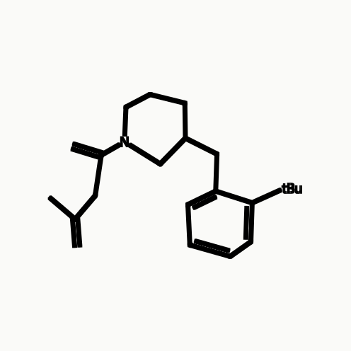 C=C(C)CC(=C)N1CCCC(Cc2ccccc2C(C)(C)C)C1